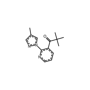 Cc1cnn(-c2ncccc2C(=O)C(C)(C)C)c1